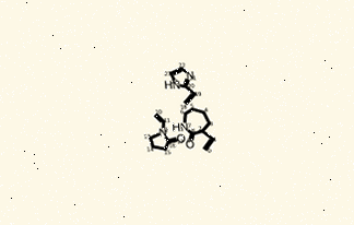 C=CC1CCCCNC1=O.C=CN1CCCC1=O.C=Cc1ncc[nH]1